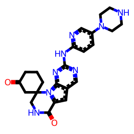 O=C1CCCC2(CNC(=O)c3cc4cnc(Nc5ccc(N6CCNCC6)cn5)nc4n32)C1